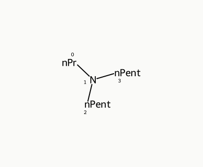 [CH2]CCN(CCCCC)CCCCC